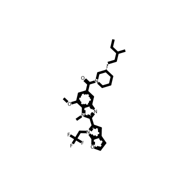 CCC(C)CC[C@@H]1CCCN(C(=O)c2cc(OC)c3c(c2)nc(-c2cc4ccoc4n2CC(F)(F)F)n3C)C1